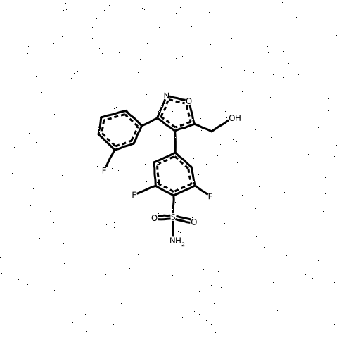 NS(=O)(=O)c1c(F)cc(-c2c(-c3cccc(F)c3)noc2CO)cc1F